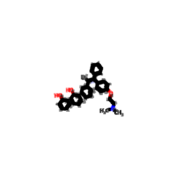 CC/C(=C(\c1ccccc1)c1ccc(OCCN(C)C)cc1)c1ccccc1.Oc1ccccc1.Oc1ccccc1